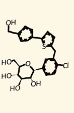 OCc1ccc(-c2ccc(Cc3cc([C@@H]4O[C@H](CO)[C@@H](O)[C@H](O)[C@H]4O)ccc3Cl)s2)cc1